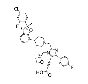 C[C@]1(c2ccc(Cl)cc2F)Oc2cccc(C3CCN(Cc4nc(-c5ccc(F)cc5)c(C#CC(=O)O)n4C[C@@H]4CCO4)CC3)c2O1